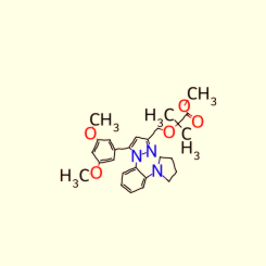 COC(=O)C(C)(C)OCc1cc(-c2cc(OC)cc(OC)c2)n(-c2ccccc2N2CCCC2)n1